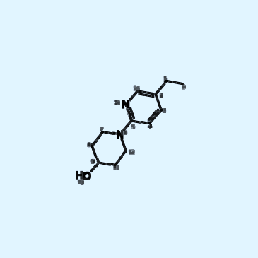 CCc1ccc(N2CCC(O)CC2)nc1